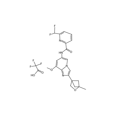 COc1cc(NC(=O)c2cccc(C(F)F)n2)cn2cc(C34COC(C)(C3)C4)nc12.O=C(O)C(F)(F)F